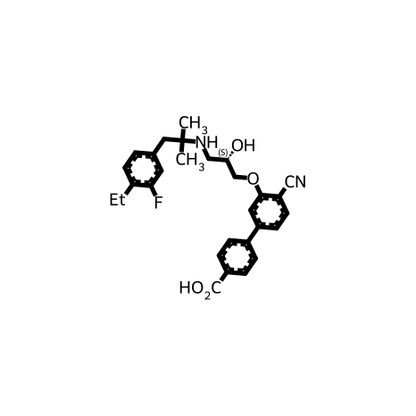 CCc1ccc(CC(C)(C)NC[C@H](O)COc2cc(-c3ccc(C(=O)O)cc3)ccc2C#N)cc1F